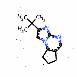 CC(C)(C)c1cn2c3c(cnc2n1)CCC3